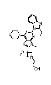 CCc1nc2ccccc2n1-c1nc(N2CCOCC2)c2nc(C3(OC)CN(CCO)C3)n(C)c2n1